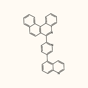 c1ccc2c(c1)ccc1c(-c3ccc(-c4cccc5ncccc45)cn3)nc3ccccc3c12